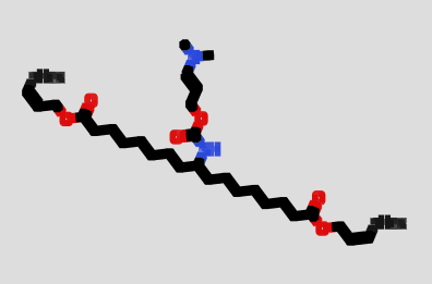 CCCCCC/C=C\COC(=O)CCCCCCCC(CCCCCCCC(=O)OC/C=C\CCCCCC)NC(=O)OC/C=C/N(C)C